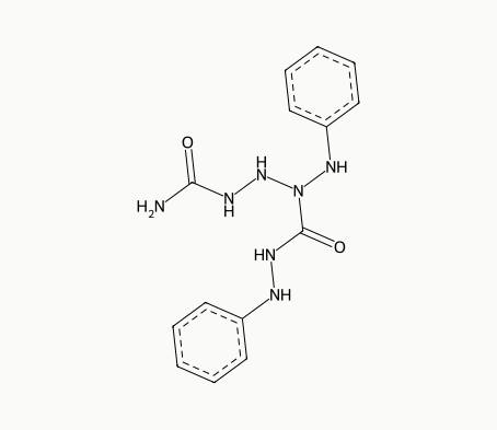 NC(=O)NNN(Nc1ccccc1)C(=O)NNc1ccccc1